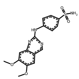 COc1cc2cnc(Nc3ccc(S(N)(=O)=O)cc3)nc2cc1OC